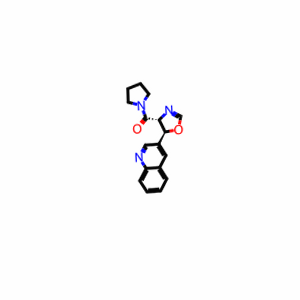 O=C([C@@H]1N=CO[C@H]1c1cnc2ccccc2c1)N1CCCC1